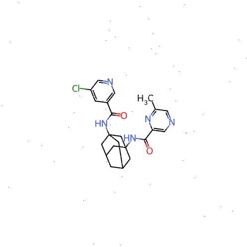 Cc1cncc(C(=O)NC23CC4CC(CC(NC(=O)c5cncc(Cl)c5)(C4)C2)C3)n1